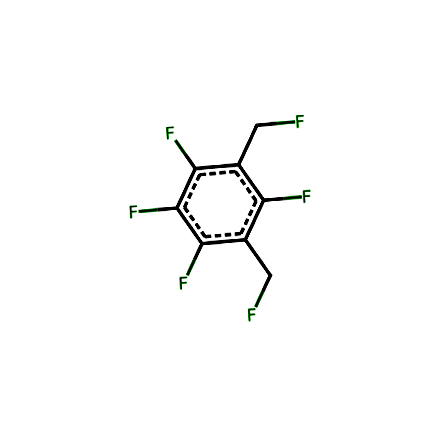 FCc1c(F)c(F)c(F)c(CF)c1F